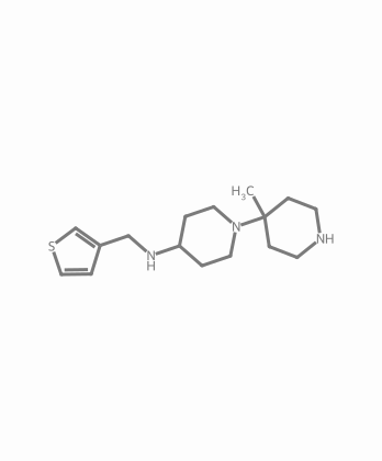 CC1(N2CCC(NCc3ccsc3)CC2)CCNCC1